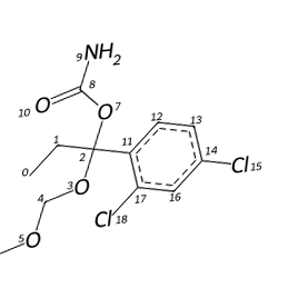 CCC(OCOC)(OC(N)=O)c1ccc(Cl)cc1Cl